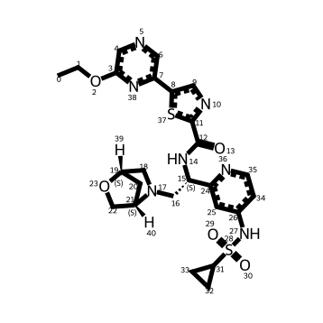 CCOc1cncc(-c2cnc(C(=O)N[C@@H](CN3C[C@@H]4C[C@H]3CO4)c3cc(NS(=O)(=O)C4CC4)ccn3)s2)n1